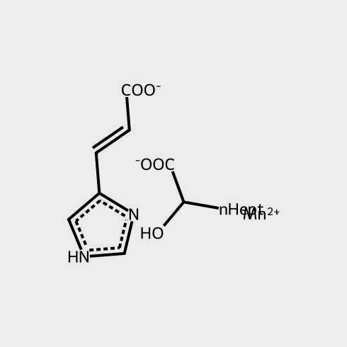 CCCCCCCC(O)C(=O)[O-].O=C([O-])C=Cc1c[nH]cn1.[Mn+2]